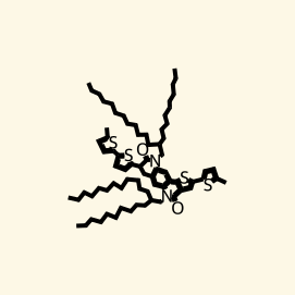 CCCCCCCCCCCCC(CCCCCCCCCC)CN1C(=O)C(c2ccc(-c3ccc(C)s3)s2)Cc2cc3c(cc21)c1sc(-c2ccc(C)s2)cc1c(=O)n3CC(CCCCCCCCCC)CCCCCCCCCCCC